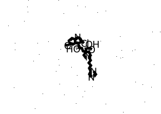 COc1ccc2ncc(Cl)c([C@@H](O)CCC3(CC(=O)O)CCN(CCCCc4cnccn4)CC3)c2c1